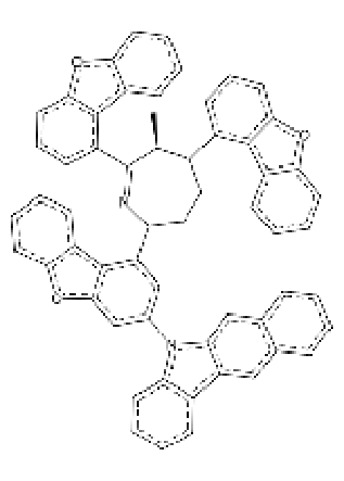 C[C@@H]1C(c2cccc3oc4ccccc4c23)=NC(c2cc(-n3c4ccccc4c4cc5ccccc5cc43)cc3oc4ccccc4c23)CCC1c1cccc2oc3ccccc3c12